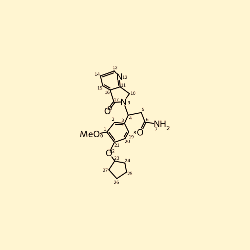 COc1cc(C(CC(N)=O)N2Cc3ncccc3C2=O)ccc1OC1CCCC1